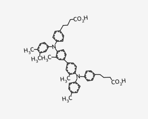 Cc1ccc(N(c2ccc(CCCC(=O)O)cc2)c2ccc(-c3ccc(N(c4ccc(CCCC(=O)O)cc4)c4ccc(C)c(C)c4)c(C)c3)cc2C)cc1